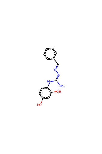 NC(=NN=Cc1ccccc1)Nc1ccc(O)cc1O